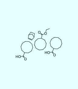 C1=CC2CCC1C2.CCOC(=O)C1CCCCCCCCC1.O=C(O)C1CCCCCCCCC1.O=C(O)C1CCCCCCCCC1